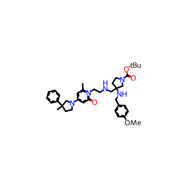 COc1ccc(CNC2(CNCCn3c(C)cc(N4CCC(C)(c5ccccc5)C4)cc3=O)CCN(C(=O)OC(C)(C)C)C2)cc1